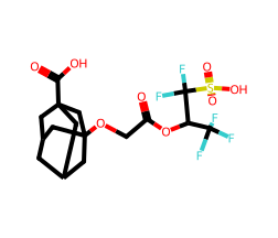 O=C(COC12CC3CC(C1)CC(C(=O)O)(C3)C2)OC(C(F)(F)F)C(F)(F)S(=O)(=O)O